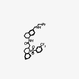 CC(C)CNCc1ccc2c(c1)CCC[C@H]2NC(=O)CC1CCc2ccccc2N1S(=O)(=O)c1cccc(C(F)(F)F)c1